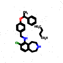 CC(Oc1ccc(CNc2c(Cl)ccc3c2CCNCC3)cc1)c1ccccc1.O=C(O)CCC(=O)O